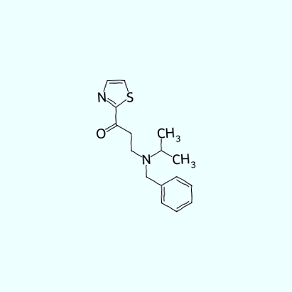 CC(C)N(CCC(=O)c1nccs1)Cc1ccccc1